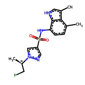 Cc1ccc(NS(=O)(=O)c2cnn([C@H](C)CF)c2)c2[nH]cc(C#N)c12